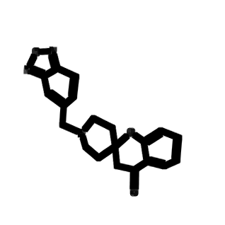 O=C1CC2(CCN(Cc3ccc4nonc4c3)CC2)Oc2ccccc21